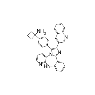 NC1(c2ccc(-c3c(-c4cnc5ccccc5c4)nc4n3-c3cccnc3Nc3ccccc3-4)cc2)CCC1